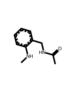 CNc1ccccc1CNC(C)=O